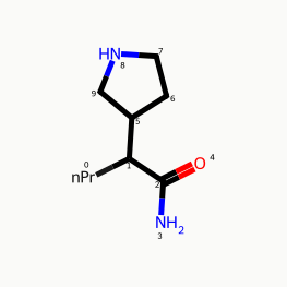 CCCC(C(N)=O)C1CCNC1